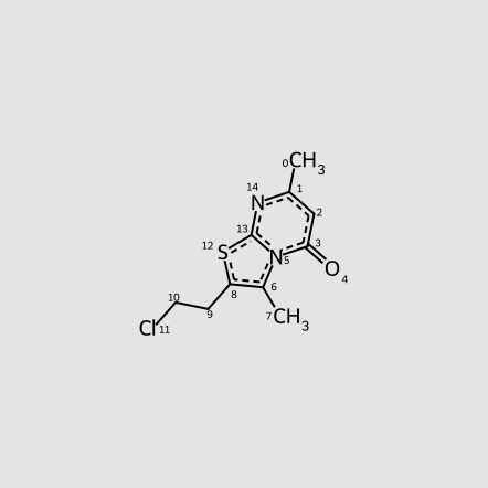 Cc1cc(=O)n2c(C)c(CCCl)sc2n1